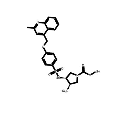 Cc1cc(COc2ccc(S(=O)(=O)N[C@H]3CN(C(=O)OC(C)(C)C)C[C@H]3C(=O)O)cc2)c2ccccc2n1